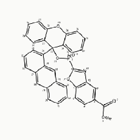 COC(=O)c1ccc2oc([PH](=O)OC3(c4cccc5cc6ccccc6cc45)c4ccccc4Oc4ccccc43)nc2c1